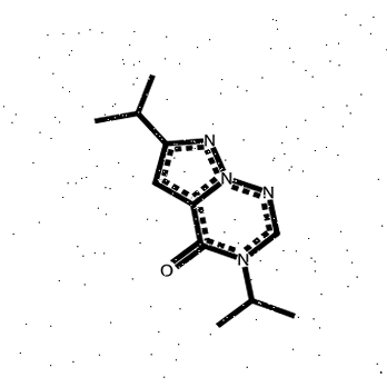 CC(C)c1cc2c(=O)n(C(C)C)cnn2n1